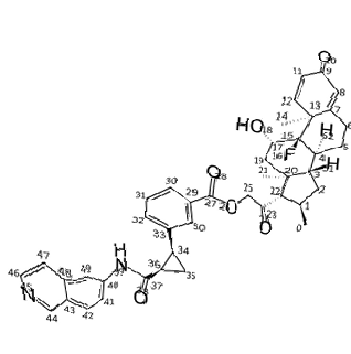 C[C@@H]1C[C@H]2[C@@H]3CCC4=CC(=O)C=C[C@]4(C)[C@@]3(F)[C@@H](O)C[C@]2(C)[C@H]1C(=O)COC(=O)c1cccc([C@H]2C[C@H]2C(=O)Nc2ccc3cnccc3c2)c1